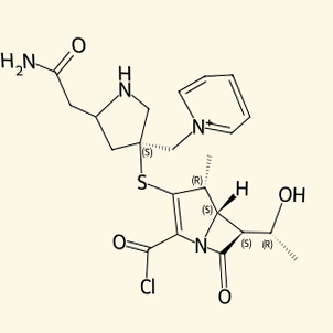 C[C@@H](O)[C@H]1C(=O)N2C(C(=O)Cl)=C(S[C@]3(C[n+]4ccccc4)CNC(CC(N)=O)C3)[C@H](C)[C@H]12